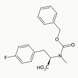 CN(C(=O)OCc1ccccc1)[C@H](Cc1ccc(F)cc1)C(=O)O